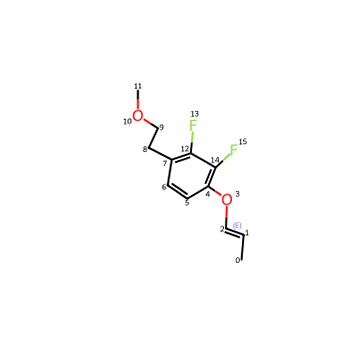 C/C=C/Oc1ccc(CCOC)c(F)c1F